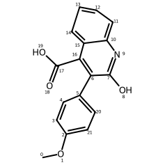 COc1ccc(-c2c(O)nc3ccccc3c2C(=O)O)cc1